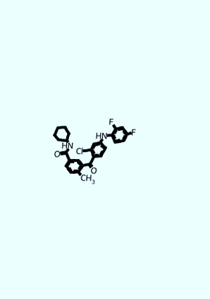 Cc1ccc(C(=O)NC2CCCCC2)cc1C(=O)c1ccc(Nc2ccc(F)cc2F)cc1Cl